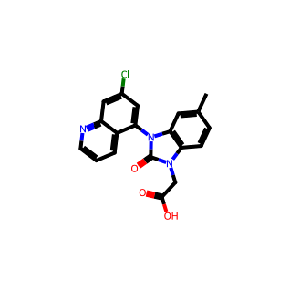 Cc1ccc2c(c1)n(-c1cc(Cl)cc3ncccc13)c(=O)n2CC(=O)O